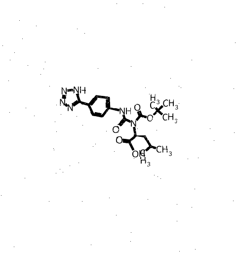 CC(C)C[C@@H](C(=O)O)N(C(=O)Nc1ccc(-c2nnn[nH]2)cc1)C(=O)OC(C)(C)C